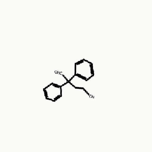 N#CCCC(C=O)(c1ccccc1)c1ccccc1